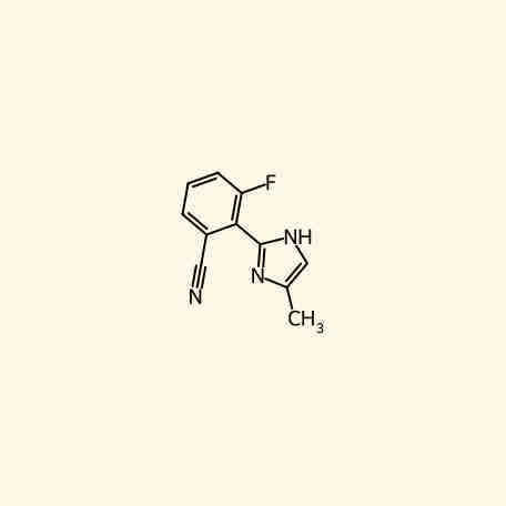 Cc1c[nH]c(-c2c(F)cccc2C#N)n1